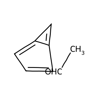 CC=O.c1cc2cc-2c1